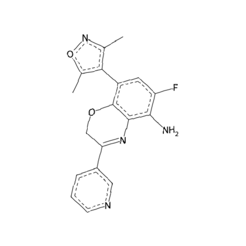 Cc1noc(C)c1-c1cc(F)c(N)c2c1OCC(c1cccnc1)=N2